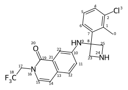 Cc1c(Cl)cccc1C1(Nc2ccc3ccn(CC(F)(F)F)c(=O)c3c2)CNC1